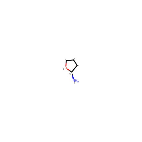 N[C@@H]1CCCO1